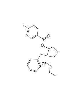 CCOC(=O)C1(Cc2ccccc2)CCCC1OC(=O)c1ccc(C)cc1